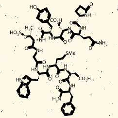 CSCC[C@H](NC(=O)[C@H](Cc1c[nH]c2ccccc12)NC(=O)CNC(=O)[C@@H](NC(=O)[C@H](Cc1ccc(O)cc1)NC(=O)[C@H](CC(=O)O)NC(=O)[C@H](CCC(N)=O)NC(=O)[C@@H]1CCC(=O)N1)[C@@H](C)OS(=O)(=O)O)C(=O)N[C@@H](CC(=O)O)C(=O)N[C@@H](Cc1ccccc1)C(N)=O